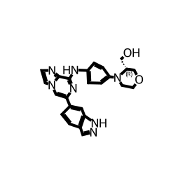 OC[C@@H]1COCCN1c1ccc(Nc2nc(-c3ccc4cn[nH]c4c3)cn3ccnc23)cc1